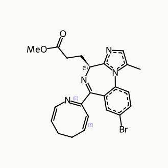 COC(=O)CC[C@@H]1N=C(C2=N/C=CCC/C=C\2)c2cc(Br)ccc2-n2c(C)cnc21